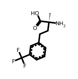 C[C@](N)(CCc1cccc(C(F)(F)F)c1)C(=O)O